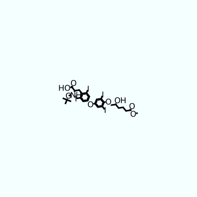 COC(=O)CCCC(O)COc1c(I)cc(Oc2cc(I)c(CC(NOC(C)(C)C)C(=O)O)c(I)c2)cc1I